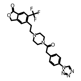 O=C1OCc2cc(CCN3CCN(C(=O)Cc4ccc(-n5cnnn5)cc4)CC3)c(C(F)(F)F)cc21